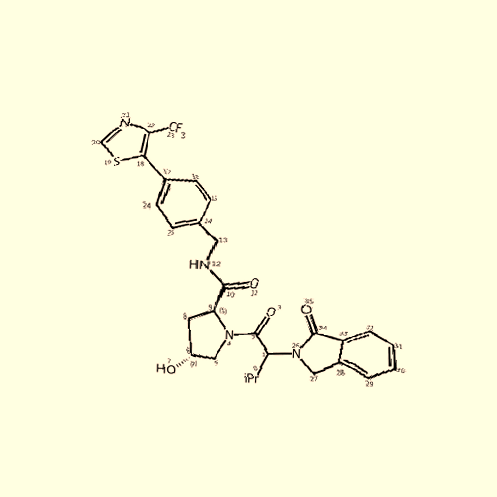 CC(C)C(C(=O)N1C[C@H](O)C[C@H]1C(=O)NCc1ccc(-c2scnc2C(F)(F)F)cc1)N1Cc2ccccc2C1=O